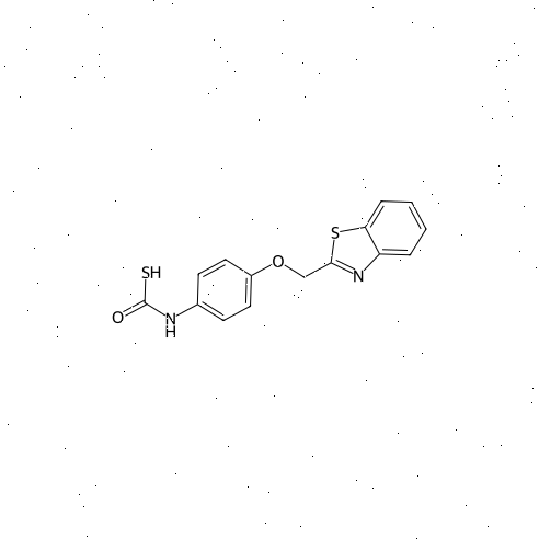 O=C(S)Nc1ccc(OCc2nc3ccccc3s2)cc1